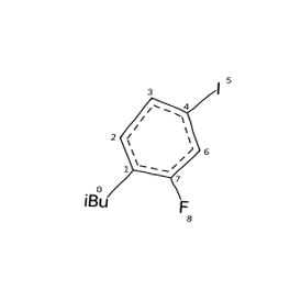 CCC(C)c1ccc(I)cc1F